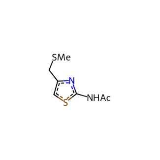 CSCc1csc(NC(C)=O)n1